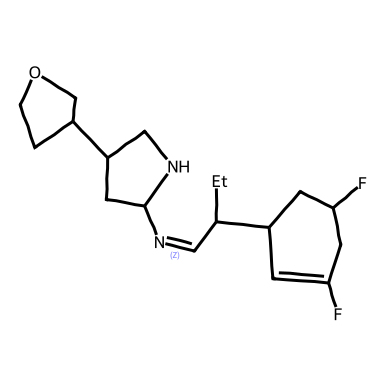 CCC(/C=N\C1CC(C2CCOC2)CN1)C1C=C(F)CC(F)C1